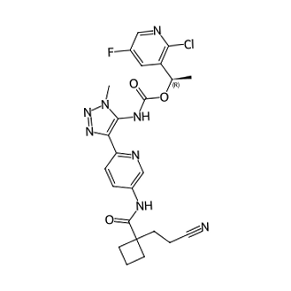 C[C@@H](OC(=O)Nc1c(-c2ccc(NC(=O)C3(CCC#N)CCC3)cn2)nnn1C)c1cc(F)cnc1Cl